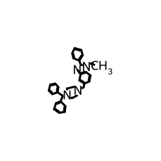 CCn1c(-c2ccccc2)nc2cc(CN3CCN(C(c4ccccc4)c4ccccc4)CC3)ccc21